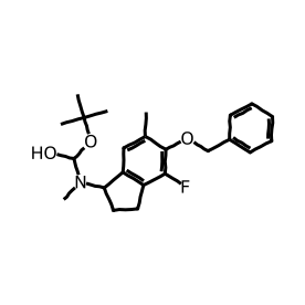 Cc1cc2c(c(F)c1OCc1ccccc1)CCC2N(C)C(O)OC(C)(C)C